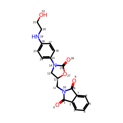 O=C1c2ccccc2C(=O)N1C[C@H]1CN(c2ccc(NCCO)cc2)C(=O)O1